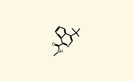 CNC(=O)c1ncc(C(C)(C)C)c2ccccc12